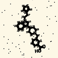 O=C(O)c1cccc(CN2CCC(c3cn(CCc4ccsc4)c4ccccc34)CC2)c1